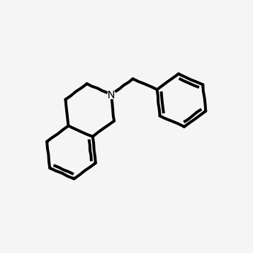 C1=CCC2CCN(Cc3ccccc3)CC2=C1